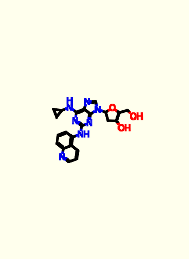 OCC1OC(n2cnc3c(NC4CC4)nc(Nc4cccc5ncccc45)nc32)CC1O